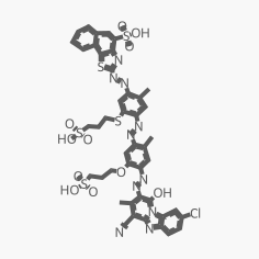 Cc1cc(N=Nc2cc(OCCCS(=O)(=O)O)c(N=Nc3c(C)c(C#N)c4nc5ccc(Cl)cc5n4c3O)cc2C)c(SCCCS(=O)(=O)O)cc1N=Nc1nc2c(S(=O)(=O)O)cc3ccccc3c2s1